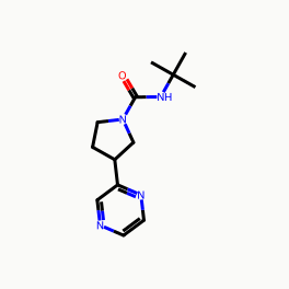 CC(C)(C)NC(=O)N1CCC(c2cnccn2)C1